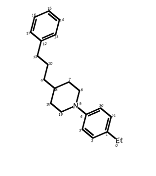 CCc1ccc(N2CCC(CCCc3ccccc3)CC2)cc1